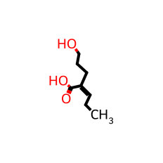 CCC=C(CCCO)C(=O)O